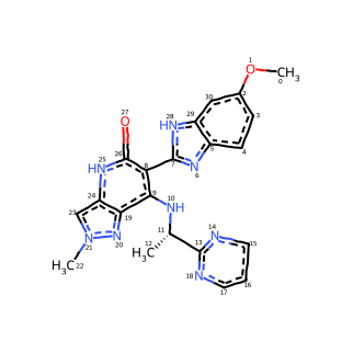 COc1ccc2nc(-c3c(N[C@@H](C)c4ncccn4)c4nn(C)cc4[nH]c3=O)[nH]c2c1